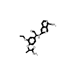 CCOc1cc(C([C]=O)Nc2ccc3c(N)nccc3c2)ccc1OC(C)C(N)=O